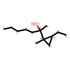 CCCCCC(C)(O)C1(C)CC1CC